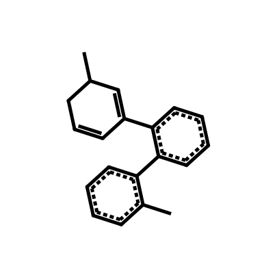 Cc1ccccc1-c1ccccc1C1=CC(C)CC=C1